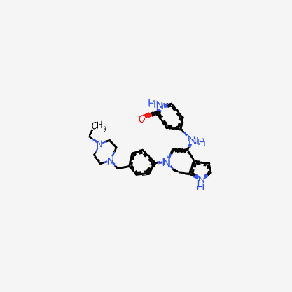 CCN1CCN(Cc2ccc(N3C=C(Nc4cc[nH]c(=O)c4)c4cc[nH]c4C3)cc2)CC1